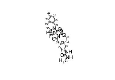 CNC(=O)Nc1ccc2c(c1)CCOC(=O)N(CC(=O)N1Cc3ccc(F)cc3CC[C@@H]1C(F)(F)F)C(=O)C2